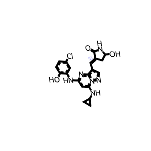 O=C1NC(O)C/C1=C\c1cnn2c(NC3CC3)cc(Nc3cc(Cl)ccc3O)nc12